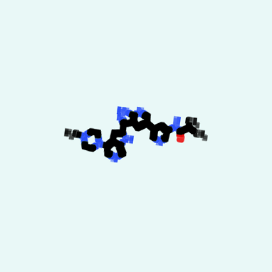 CC(C)C(=O)Nc1cncc(-c2cnc3[nH]nc(-c4cc5c(N6CCN(C)CC6)cncc5[nH]4)c3c2)c1